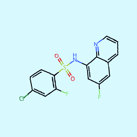 O=S(=O)(Nc1cc(F)cc2cccnc12)c1ccc(Cl)cc1F